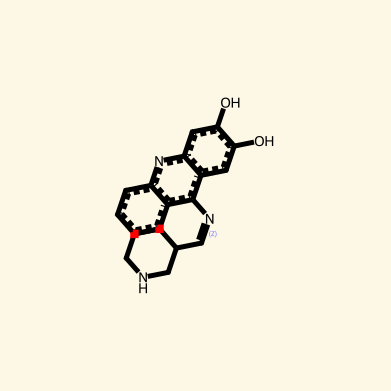 Oc1cc2nc3ccccc3c(/N=C\C3CCCNC3)c2cc1O